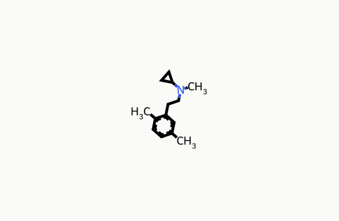 Cc1ccc(C)c(CCN(C)C2CC2)c1